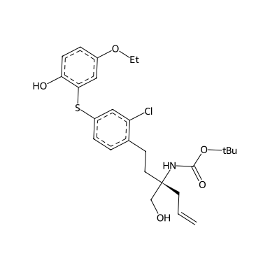 C=CC[C@@](CO)(CCc1ccc(Sc2cc(OCC)ccc2O)cc1Cl)NC(=O)OC(C)(C)C